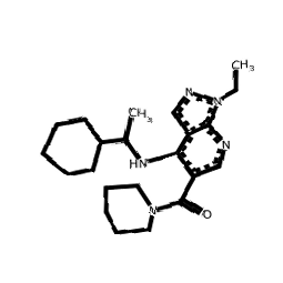 CCn1ncc2c(NC(C)C3CCCCC3)c(C(=O)N3CCCCC3)cnc21